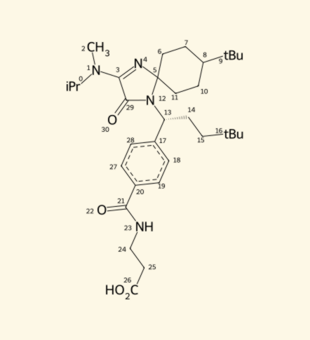 CC(C)N(C)C1=NC2(CCC(C(C)(C)C)CC2)N([C@H](CCC(C)(C)C)c2ccc(C(=O)NCCC(=O)O)cc2)C1=O